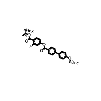 CCCCCCCCCCOc1ccc(-c2ccc(C(=O)Oc3ccc(C(=O)O[C@H](C)CCCCCC)c(F)c3)cc2)cc1